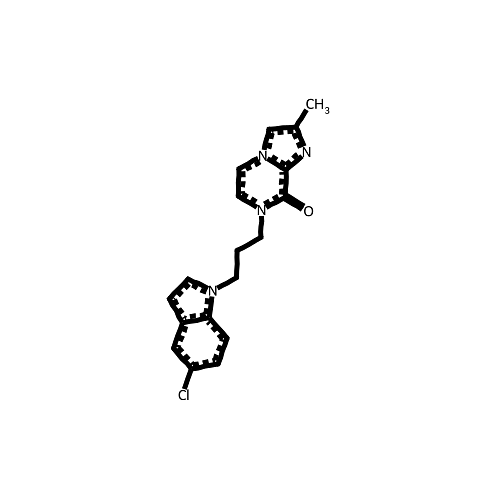 Cc1cn2ccn(CCCn3ccc4cc(Cl)ccc43)c(=O)c2n1